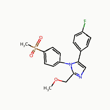 COCc1ncc(-c2ccc(F)cc2)n1-c1ccc(S(C)(=O)=O)cc1